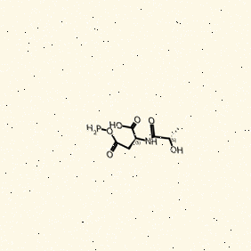 C[C@H](O)C(=O)N[C@@H](CC(=O)OP)C(=O)O